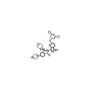 CN1CCN(c2ccc(C(=O)Nc3n[nH]c4ccc(SC5C=C(Cl)C=C(Cl)C5)nc34)c(NC3CCOCC3)c2)CC1